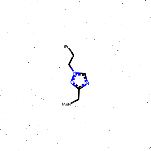 CNCc1ncn(CCC(C)C)n1